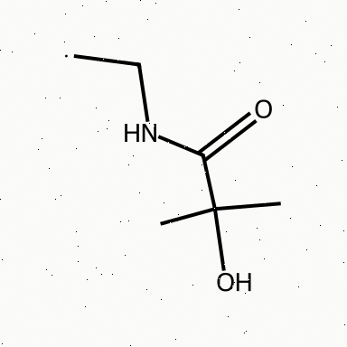 [CH2]CNC(=O)C(C)(C)O